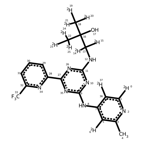 [2H]c1nc(C)c([2H])c(Nc2nc(NC([2H])([2H])C(O)(C([2H])([2H])[2H])C([2H])([2H])[2H])nc(-c3cccc(C(F)(F)F)n3)n2)c1[2H]